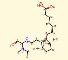 CCN(C)C(C=O)NCC[C@H]1[C@@H](C/C=C\CCCC(=O)O)[C@H]2CC[C@@H]1O2